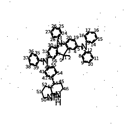 CC1(C)c2cc(N(c3ccccc3)c3ccccc3)ccc2N(c2ccccc2)c2ccc(N(c3ccccc3)c3ccc(C4CCNC5NCCCC54)cc3)cc21